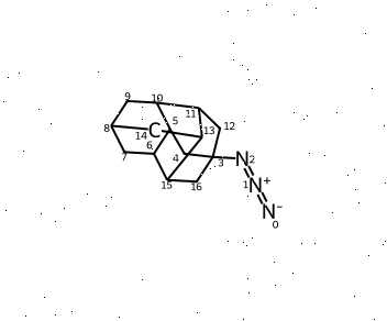 [N-]=[N+]=NC12CC3C4CC5CC3C(C1)C(C5)C4C2